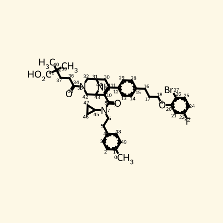 Cc1ccc(CCN(C(=O)C2=C(c3ccc(CCCOc4cc(F)ccc4Br)cc3)CC3CN(C(=O)CCC(C)(C)C(=O)O)CC2N3)C2CC2)cc1